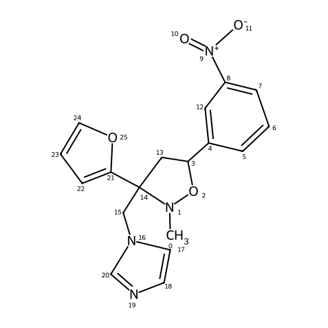 CN1OC(c2cccc([N+](=O)[O-])c2)CC1(Cn1ccnc1)c1ccco1